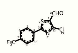 O=Cc1sc(-c2ccc(C(F)(F)F)cc2)nc1Cl